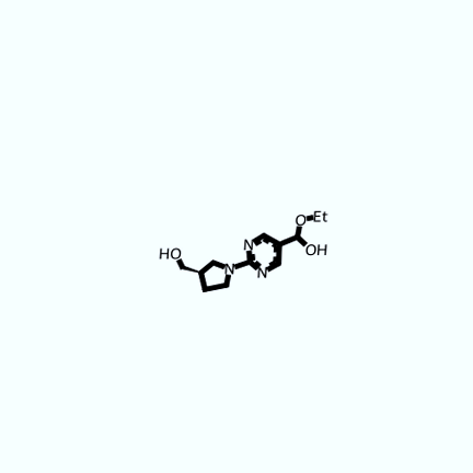 CCOC(O)c1cnc(N2CC[C@@H](CO)C2)nc1